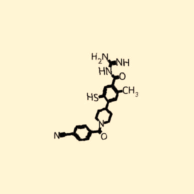 Cc1cc(C2CCN(C(=O)c3ccc(C#N)cc3)CC2)c(S)cc1C(=O)NC(=N)N